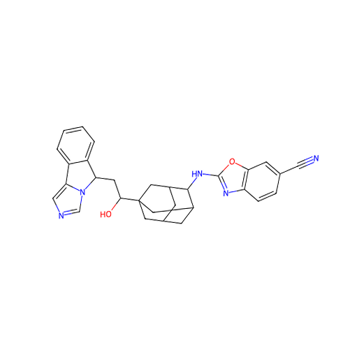 N#Cc1ccc2nc(NC3C4CC5CC3CC(C(O)CC3c6ccccc6-c6cncn63)(C5)C4)oc2c1